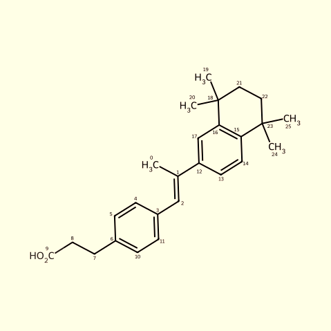 CC(=Cc1ccc(CCC(=O)O)cc1)c1ccc2c(c1)C(C)(C)CCC2(C)C